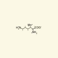 NCCCC[C@H](N)C(=O)[O-].[Mn+]